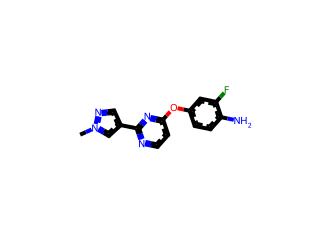 Cn1cc(-c2nccc(Oc3ccc(N)c(F)c3)n2)cn1